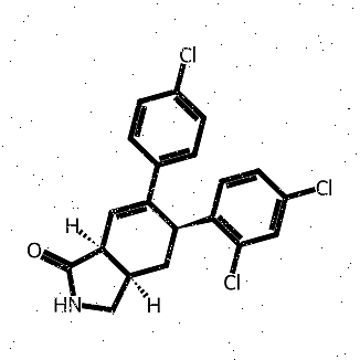 O=C1NC[C@@H]2C[C@H](c3ccc(Cl)cc3Cl)C(c3ccc(Cl)cc3)=C[C@H]12